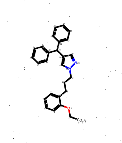 O=C(O)COc1ccccc1CCCn1cc(C(c2ccccc2)c2ccccc2)cn1